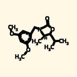 COc1cc(CN2C(=O)OC(C(C)C)[C@H]2C)cc(OC)c1